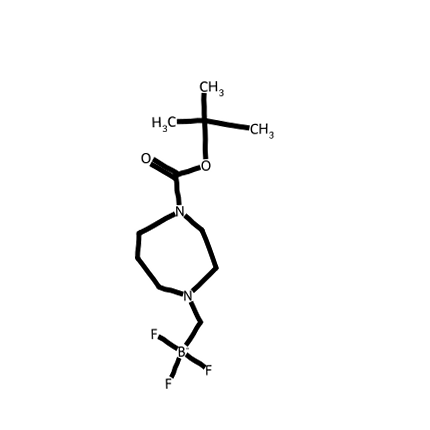 CC(C)(C)OC(=O)N1CCCN(C[B-](F)(F)F)CC1